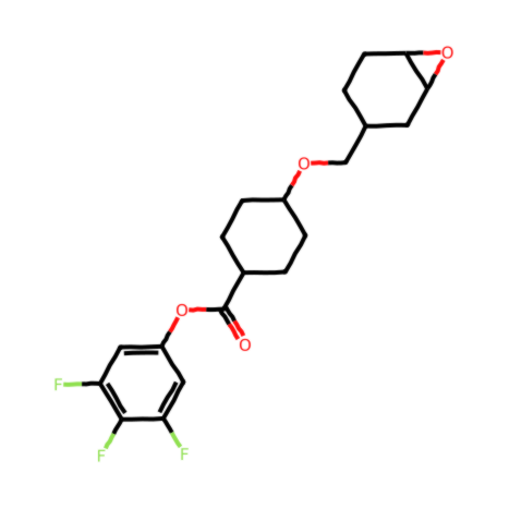 O=C(Oc1cc(F)c(F)c(F)c1)C1CCC(OCC2CCC3OC3C2)CC1